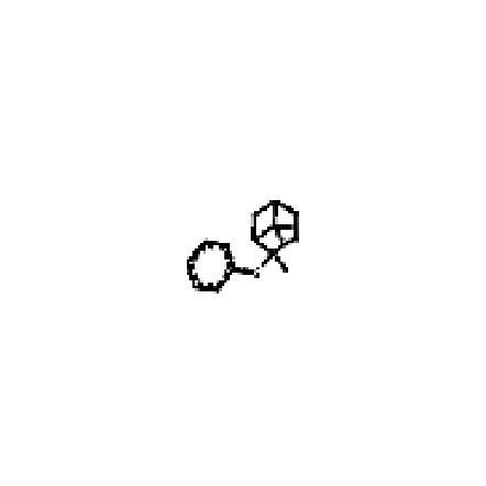 CC1(Sc2ccccc2)CCC2CC1C2(C)C